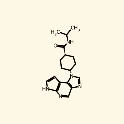 CC(C)NC(=O)[C@H]1CC[C@H](n2cnc3cnc4[nH]ccc4c32)CC1